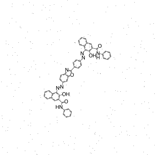 O=C(Nc1ccccc1)c1cc2ccccc2c(N=Nc2ccc(-c3nc4ccc(N=Nc5c(O)c(C(=O)Nc6ccccc6)cc6ccccc56)cc4o3)cc2)c1O